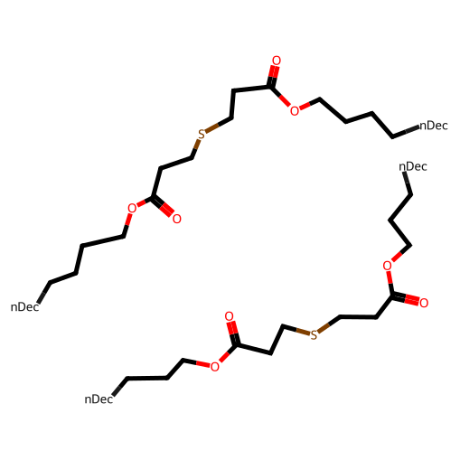 CCCCCCCCCCCCCCOC(=O)CCSCCC(=O)OCCCCCCCCCCCCCC.CCCCCCCCCCCCCOC(=O)CCSCCC(=O)OCCCCCCCCCCCCC